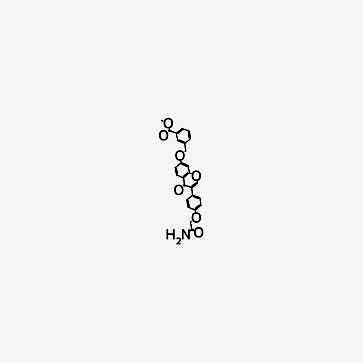 COC(=O)c1cccc(COc2ccc3c(=O)c(-c4ccc(OCC(N)=O)cc4)coc3c2)c1